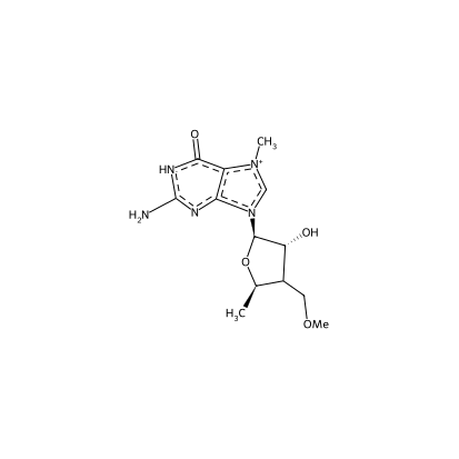 COCC1[C@@H](O)[C@H](n2c[n+](C)c3c(=O)[nH]c(N)nc32)O[C@@H]1C